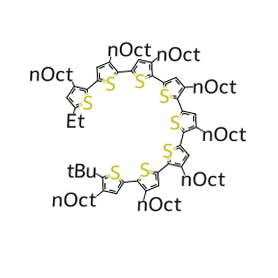 CCCCCCCCc1cc(CC)sc1-c1cc(CCCCCCCC)c(-c2cc(CCCCCCCC)c(-c3cc(CCCCCCCC)c(-c4cc(CCCCCCCC)c(-c5cc(CCCCCCCC)c(-c6cc(CCCCCCCC)c(-c7cc(CCCCCCCC)c(C(C)(C)C)s7)s6)s5)s4)s3)s2)s1